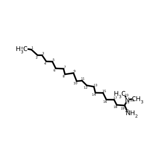 CCCCCCCCCCCCCCCCCCCC(N)N(C)C